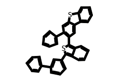 c1ccc(-c2cccc(-c3sc(-c4cc5c(cc4-c4ccccc4)sc4ccccc45)c4ccccc34)c2)cc1